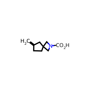 C=C1CCC2(C1)CN(C(=O)O)C2